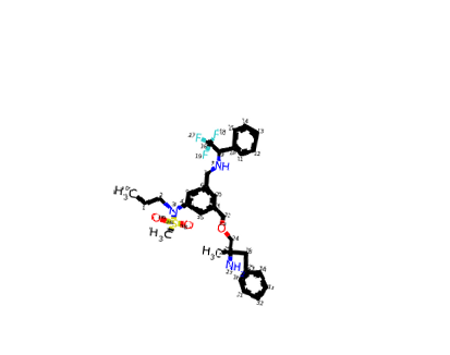 CCCN(c1cc(CNC(c2ccccc2)C(F)(F)F)cc(COCC(C)(N)Cc2ccccc2)c1)S(C)(=O)=O